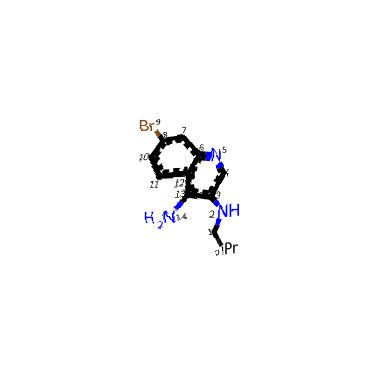 CC(C)CNc1cnc2cc(Br)ccc2c1N